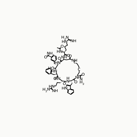 CC(=O)N[C@@H](CCCNC(=N)N)C(=O)N[C@H]1CC(=O)NCCCCC[C@@H](C(N)=O)NC(=O)[C@H](Cc2c[nH]c3ccccc23)NC(=O)[C@H](CCCNC(=N)N)NC(=O)[C@@H](Cc2ccccc2)NC(O)[C@H](Cc2cccc(C(N)=O)c2)NC1=O